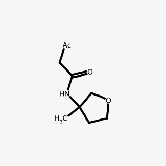 CC(=O)CC(=O)NC1(C)CCOC1